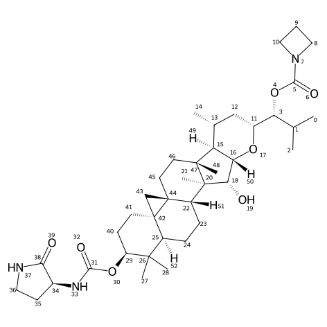 CC(C)[C@@H](OC(=O)N1CCC1)[C@H]1C[C@@H](C)[C@H]2[C@H](O1)[C@H](O)[C@@]1(C)[C@@H]3CC[C@H]4C(C)(C)[C@@H](OC(=O)N[C@H]5CCNC5=O)CC[C@@]45C[C@@]35CC[C@]21C